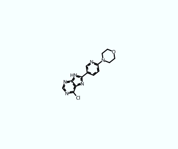 Clc1ncnc2[nH]c(-c3ccc(N4CCOCC4)nc3)nc12